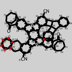 N#Cc1cc2c(c3c1C1c4ccccc4C3c3ccccc31)c1c3c4cc5c(cc4n4c6cc(C#N)c7c(c6c(c6c8cc9c(cc8n2c61)C1CCC(CC1)C9=O)c34)C12c3ccccc3C1c1ccccc1C72)C1CCC(CC1)C5=O